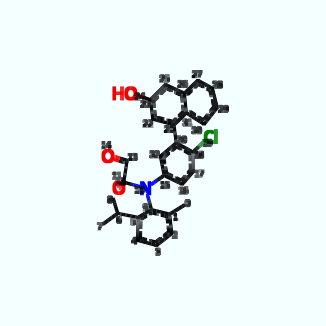 Cc1cccc(C(C)C)c1N(C(=O)C=O)c1ccc(Cl)c(-c2cc(O)cc3ccccc23)c1